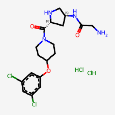 Cl.Cl.NCC(=O)N[C@@H]1CN[C@@H](C(=O)N2CCC(Oc3cc(Cl)cc(Cl)c3)CC2)C1